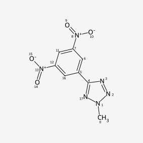 Cn1nnc(-c2cc([N+](=O)[O-])cc([N+](=O)[O-])c2)n1